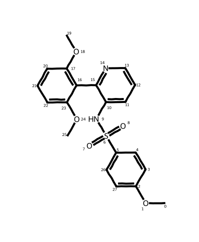 COc1ccc(S(=O)(=O)Nc2cccnc2-c2c(OC)cccc2OC)cc1